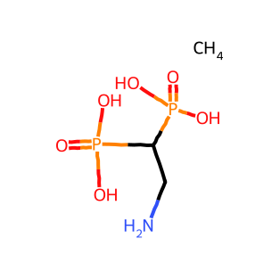 C.NCC(P(=O)(O)O)P(=O)(O)O